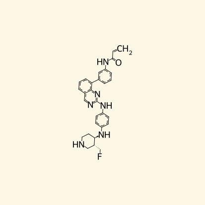 C=CC(=O)Nc1cccc(-c2cccc3cnc(Nc4ccc(N[C@@H]5CCNC[C@H]5CF)cc4)nc23)c1